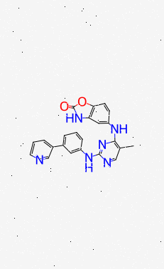 Cc1cnc(Nc2cccc(-c3cccnc3)c2)nc1Nc1ccc2oc(=O)[nH]c2c1